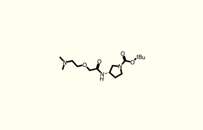 CN(C)CCOCC(=O)N[C@H]1CCN(C(=O)OC(C)(C)C)C1